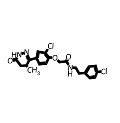 CC1CC(=O)NN=C1c1ccc(OCC(=O)NCCc2ccc(Cl)cc2)c(Cl)c1